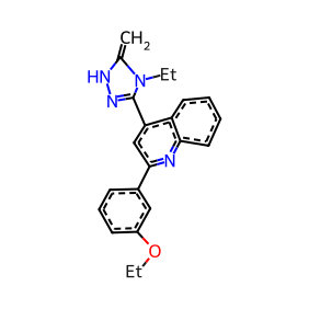 C=C1NN=C(c2cc(-c3cccc(OCC)c3)nc3ccccc23)N1CC